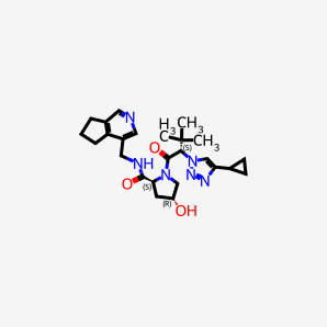 CC(C)(C)[C@@H](C(=O)N1C[C@H](O)C[C@H]1C(=O)NCc1cncc2c1CCC2)n1cc(C2CC2)nn1